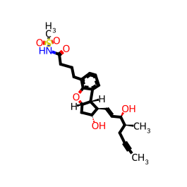 CC#CC[C@H](C)[C@H](O)/C=C/[C@@H]1[C@H]2c3cccc(CCCC(=O)NS(C)(=O)=O)c3O[C@H]2C[C@H]1O